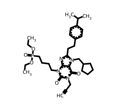 C#CCn1c(=O)c2c(nc(CCc3ccc(C(C)C)cc3)n2CC2CCCC2)n(CCCCP(=O)(OCC)OCC)c1=O